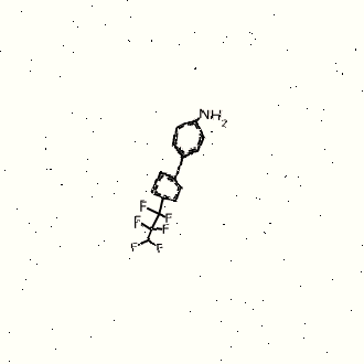 Nc1ccc(-c2ccc(C(F)(F)C(F)(F)C(F)F)cc2)cc1